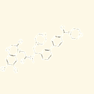 CN(C(=O)CN1C(=O)COc2cc(Cl)c(Cl)cc21)C(CN1CCOCC1)c1cccc(-c2ccc(C(=O)N3CCOCC3)cc2)c1